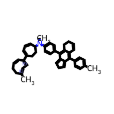 C/C1=C\C=C(\C2=CC=CC(N(C)c3ccc(-c4c5c(c(-c6ccc(C)cc6)c6c4=CCC=6)C=CCC5)cc3)CC2)C=CCC1